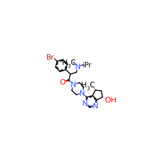 CC(C)N(C)CC(C(=O)N1CCN(c2ncnc3c2[C@H](C)C[C@@H]3O)CC1)c1ccc(Br)cc1